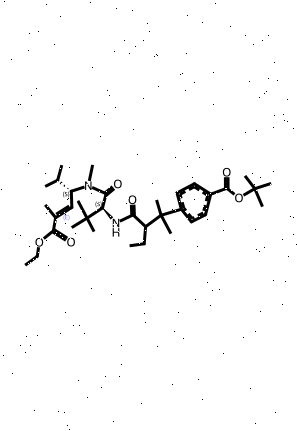 CCOC(=O)/C(C)=C/[C@H](C(C)C)N(C)C(=O)[C@@H](NC(=O)C(CC)C(C)(C)c1ccc(C(=O)OC(C)(C)C)cc1)C(C)(C)C